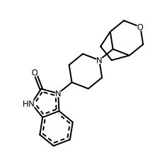 O=c1[nH]c2ccccc2n1C1CCN(C2C3CCC2COC3)CC1